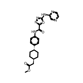 COC(=O)C[C@H]1CC[C@H](c2ccc(NC(=O)c3nnc(Nc4cnccn4)o3)cc2)CC1